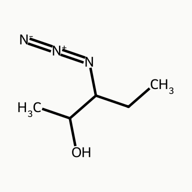 CCC(N=[N+]=[N-])C(C)O